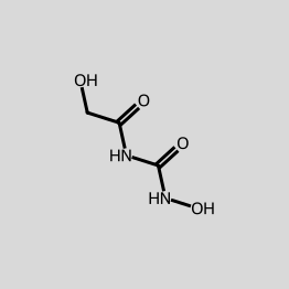 O=C(CO)NC(=O)NO